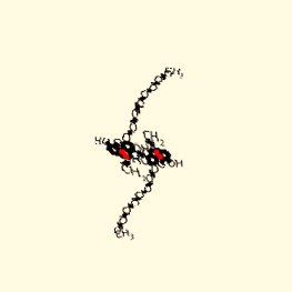 C=CCN1CC[C@]23c4c5ccc(O)c4OC2C(OCCOCCOCCOCCOCCOCCOCCOC)CC[C@@]3(OC(=O)C(=O)O[C@@]23CCC(OCCOCCOCCOCCOCCOCCOCCOC)C4Oc6c(O)ccc7c6[C@@]42CCN(CC=C)[C@@H]3C7)[C@H]1C5